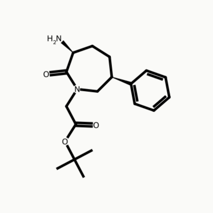 CC(C)(C)OC(=O)CN1C[C@H](c2ccccc2)CC[C@H](N)C1=O